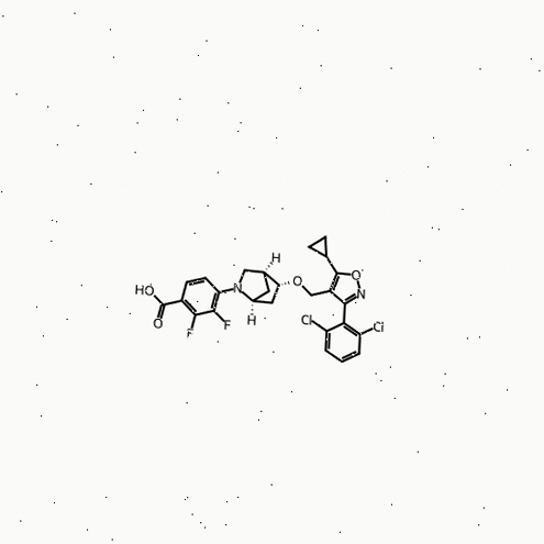 O=C(O)c1ccc(N2C[C@@H]3C[C@H]2C[C@H]3OCc2c(-c3c(Cl)cccc3Cl)noc2C2CC2)c(F)c1F